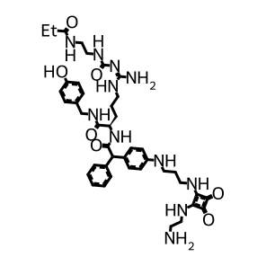 CCC(=O)NCCNC(=O)/N=C(/N)NCCC[C@@H](NC(=O)C(c1ccccc1)c1ccc(NCCCNc2c(NCCN)c(=O)c2=O)cc1)C(=O)NCc1ccc(O)cc1